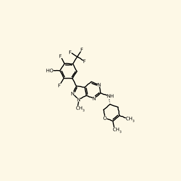 CC1=C(C)OC[C@H](Nc2ncc3c(-c4cc(C(F)(F)F)c(F)c(O)c4F)nn(C)c3n2)C1